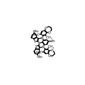 Cc1cc2c(c(C)c1N1c3cc(C(C)C)cc4c3B(c3sc5ccc(C(C)(C)C)cc5c31)c1sc3ccc(C(C)(C)C)cc3c1N4c1c(C)cc3c(c1C)OCCCO3)OCCCO2